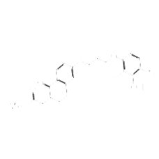 CCCc1c(OCCCSc2ccc3c(c2)CCC(CC(=O)OC)C3=O)ccc(C(C)=O)c1O